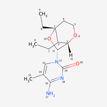 CCC1[C@@H]2OCC[C@@]1(CC)O[C@H]2n1cc(C)c(N)nc1=O